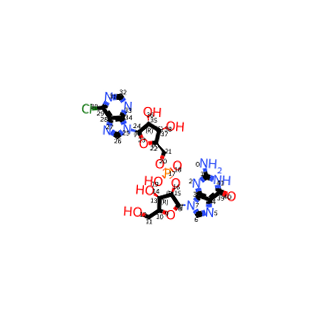 Nc1nc2c(ncn2[C@@H]2OC(CO)[C@@H](O)[C@H]2OP(=O)(O)OC[C@H]2O[C@@H](n3cnc4c(Cl)ncnc43)[C@H](O)[C@@H]2O)c(=O)[nH]1